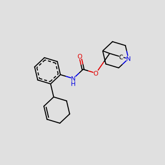 O=C(Nc1ccccc1C1C=CCCC1)OC1CN2CCC1CC2